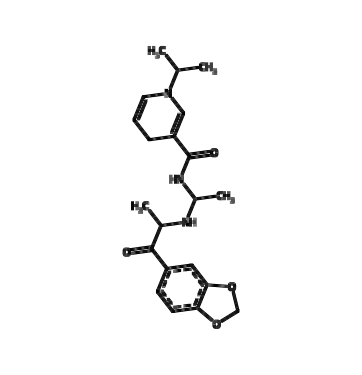 CC(NC(=O)C1=CN(C(C)C)C=CC1)NC(C)C(=O)c1ccc2c(c1)OCO2